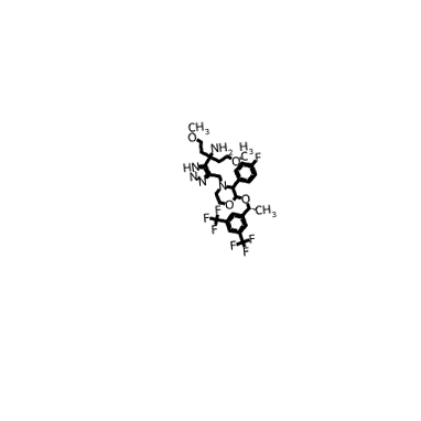 COCCC(N)(CCOC)c1[nH]nnc1CN1CCOC(O[C@H](C)c2cc(C(F)(F)F)cc(C(F)(F)F)c2)C1c1ccc(F)cc1